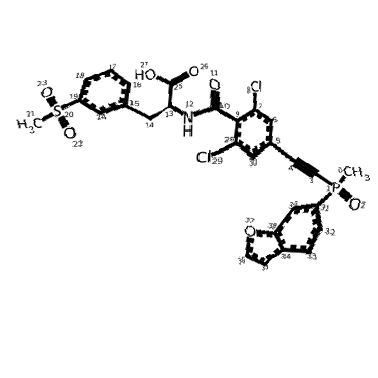 CP(=O)(C#Cc1cc(Cl)c(C(=O)N[C@@H](Cc2cccc(S(C)(=O)=O)c2)C(=O)O)c(Cl)c1)c1ccc2ccoc2c1